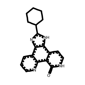 O=c1[nH]ccc2c3[nH]c(C4CCCCC4)nc3c3cccnc3c12